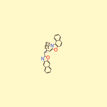 CC/C(C=C1Oc2ccc3ccccc3c2N1CC)=C/c1nc2cc3ccccc3cc2o1